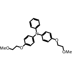 COCCOc1ccc(N(c2ccccc2)c2ccc(OCCOC)cc2)cc1